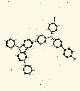 Fc1ccc(-c2ccc(N(c3ccc(F)cc3)c3ccc(-c4ccc5c(c4)c4cc(-c6ccccc6)ccc4n5-c4ccccc4)cc3)cc2)cc1